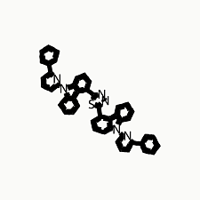 c1ccc(-c2cccc(-n3c4ccccc4c4c(-c5nnc(-c6cccc7c6c6ccccc6n7-c6cccc(-c7ccccc7)n6)s5)cccc43)n2)cc1